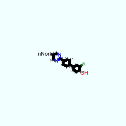 CCCCCCCCCc1cnc(-c2ccc(-c3ccc(O)c(F)c3)cc2)nc1